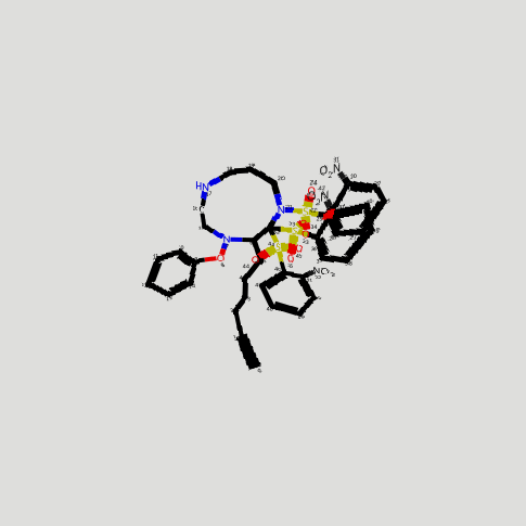 C#CCCCCC1N(Oc2ccccc2)CCNCCCN(S(=O)(=O)c2ccccc2[N+](=O)[O-])C1(S(=O)(=O)c1ccccc1[N+](=O)[O-])S(=O)(=O)c1ccccc1[N+](=O)[O-]